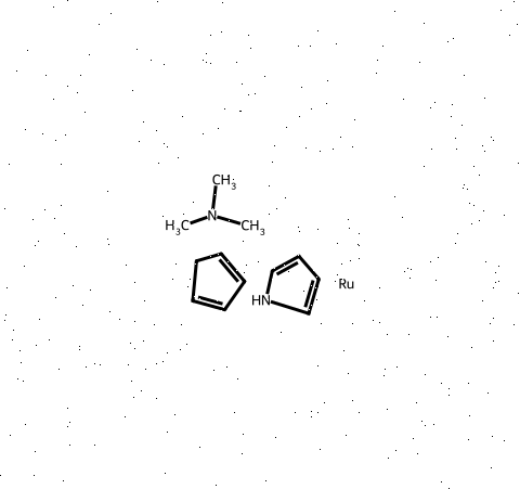 C1=CCC=C1.CN(C)C.[Ru].c1cc[nH]c1